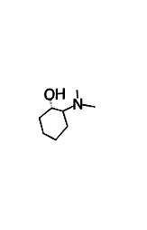 CN(C)C1CCCC[C@@H]1O